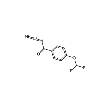 [N-]=[N+]=NC(=O)c1ccc(OC(F)F)cc1